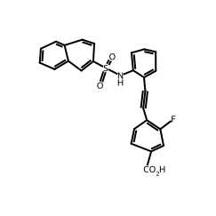 O=C(O)c1ccc(C#Cc2ccccc2NS(=O)(=O)c2ccc3ccccc3c2)c(F)c1